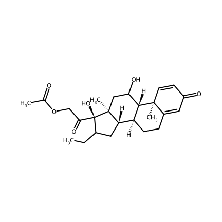 CCC1C[C@H]2[C@@H]3CCC4=CC(=O)C=C[C@]4(C)[C@H]3C(O)C[C@]2(C)[C@@]1(O)C(=O)COC(C)=O